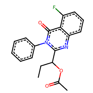 CCC(OC(C)=O)c1nc2cccc(F)c2c(=O)n1-c1ccccc1